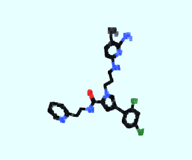 Nc1nc(NCCCn2cc(-c3ccc(Cl)cc3Cl)cc2C(=O)NCCc2ccccn2)ccc1[N+](=O)[O-]